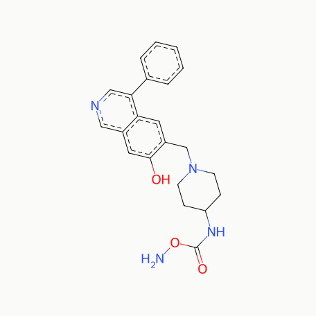 NOC(=O)NC1CCN(Cc2cc3c(-c4ccccc4)cncc3cc2O)CC1